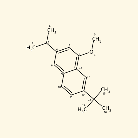 COc1cc(C(C)C)cc2ccc(C(C)(C)C)cc12